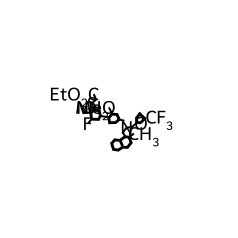 CCOC(=O)CSc1cc(-c2ccc(CN(Cc3ccc(C(F)(F)F)o3)Cc3c(C)ccc4ccccc34)cc2OC)cc(F)c1CN